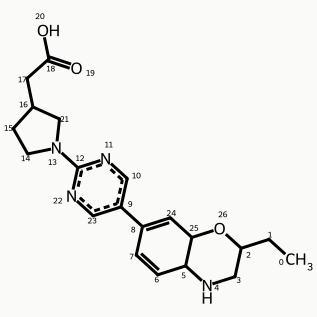 CCC1CNC2C=CC(c3cnc(N4CCC(CC(=O)O)C4)nc3)=CC2O1